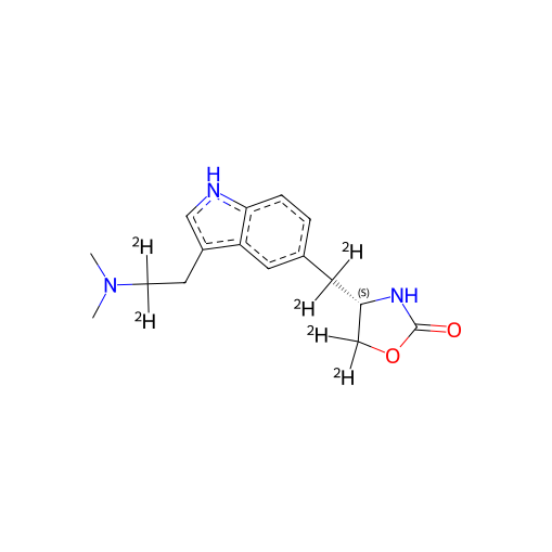 [2H]C1([2H])OC(=O)N[C@H]1C([2H])([2H])c1ccc2[nH]cc(CC([2H])([2H])N(C)C)c2c1